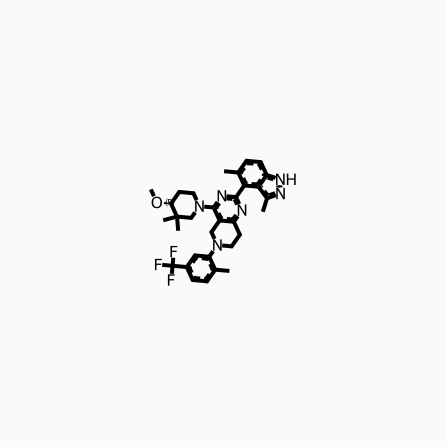 CO[C@@H]1CCN(c2nc(-c3c(C)ccc4[nH]nc(C)c34)nc3c2CN(c2cc(C(F)(F)F)ccc2C)CC3)CC1(C)C